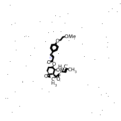 COCCOc1ccc(/C=C/C(=O)O[C@@H]2CC[C@]3(CO3)C([C@]3(C)O[C@H]3CC=C(C)C)[C@@H]2OC)cc1